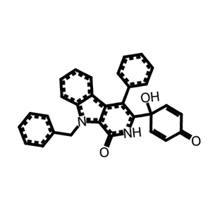 O=C1C=CC(O)(c2[nH]c(=O)c3c(c2-c2ccccc2)c2ccccc2n3Cc2ccccc2)C=C1